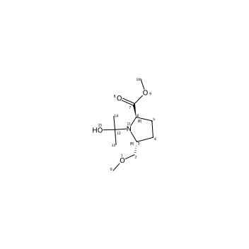 COC[C@H]1CC[C@H](C(=O)OC)N1C(C)(C)O